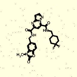 Cn1c(=O)oc2ccc(CNC(=O)c3cc(C(=O)NCC4CCC(F)(F)CC4)n4nccc4n3)cc21